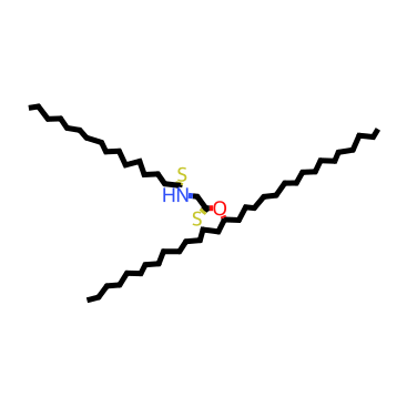 CCCCCCCCCCCCCCCCC(CCCCCCCCCCCCCC)OC(=S)CNC(=S)CCCCCCCCCCCCCCC